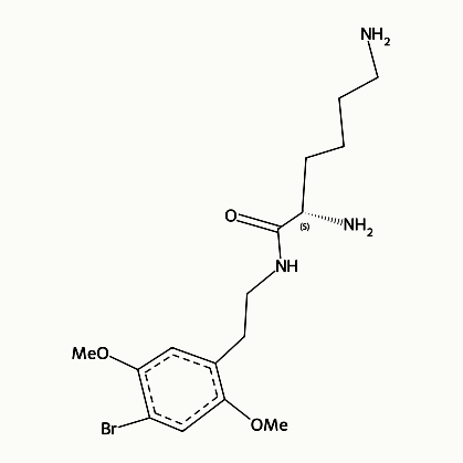 COc1cc(CCNC(=O)[C@@H](N)CCCCN)c(OC)cc1Br